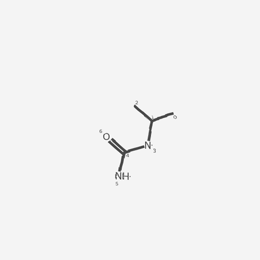 CC(C)[N]C([NH])=O